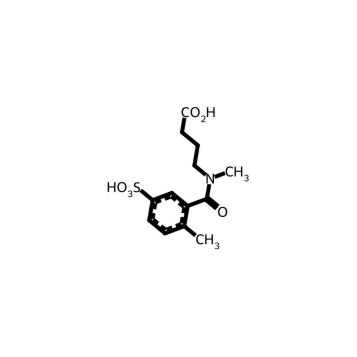 Cc1ccc(S(=O)(=O)O)cc1C(=O)N(C)CCCC(=O)O